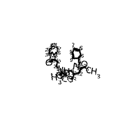 Cc1oc(-c2ccccc2)nc1CC1COC(C)(C(=O)NCCC(=O)N2CCSCC2)OC1